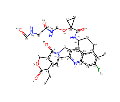 CCC1C(=O)OCc2c1cc1n(c2=O)Cc2c-1nc1cc(F)c(C)c3c1c2C(NC(=O)C1(OCNC(=O)CNC=O)CC1)CC3